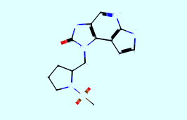 CS(=O)(=O)N1CCCC1Cn1c(=O)[nH]c2cnc3[nH]ccc3c21